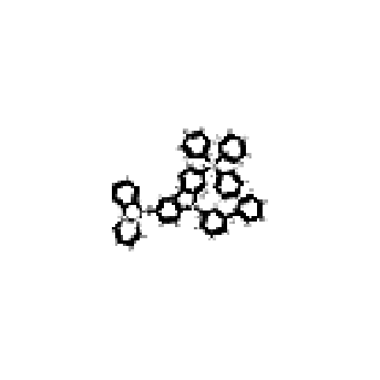 C1=CN2c3ccccc3N(c3ccc4c(c3)c3ccc(S(c5ccccc5)(c5ccccc5)c5ccccc5)cc3n4-c3cccc(-c4ccccc4)c3)N2C=C1